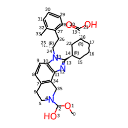 COC(O)N1CCc2ccc3c(nc([C@@H]4CCC[C@@H](C(=O)O)C4)n3[C@H](C)Cc3ccccc3C)c2C1